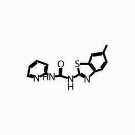 Cc1ccc2nc(NC(=O)Nc3ccccn3)sc2c1